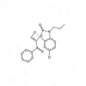 CCCN1C(=O)[C@@]2(OC=C2C(=O)c2ccccc2)c2cc(Cl)ccc21